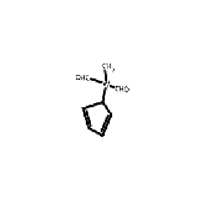 [CH3][W]([CH]=O)([CH]=O)[CH]1C=CC=C1